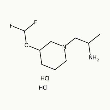 CC(N)CN1CCCC(OC(F)F)C1.Cl.Cl